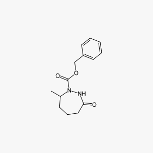 CC1CCCC(=O)NN1C(=O)OCc1ccccc1